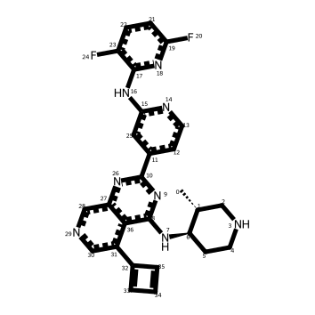 C[C@@H]1CNCC[C@H]1Nc1nc(-c2ccnc(Nc3nc(F)ccc3F)c2)nc2cncc(C3=CC=C3)c12